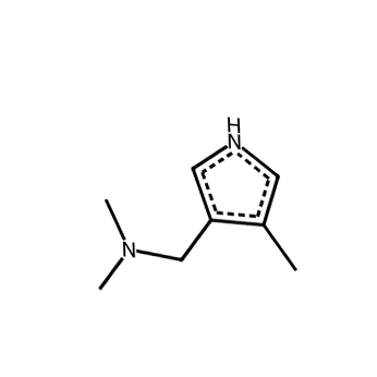 Cc1c[nH]cc1CN(C)C